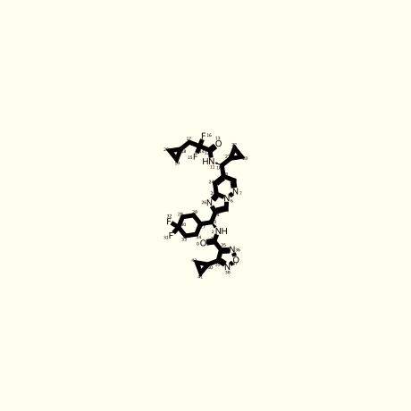 O=C(N[C@H](c1cn2ncc([C@H](NC(=O)C(F)(F)CC3CC3)C3CC3)cc2n1)C1CCC(F)(F)CC1)c1nonc1C1CC1